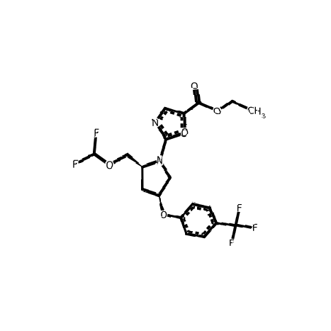 CCOC(=O)c1cnc(N2C[C@@H](Oc3ccc(C(F)(F)F)cc3)C[C@H]2COC(F)F)o1